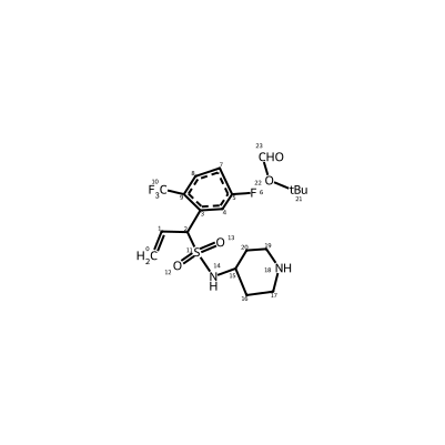 C=CC(c1cc(F)ccc1C(F)(F)F)S(=O)(=O)NC1CCNCC1.CC(C)(C)OC=O